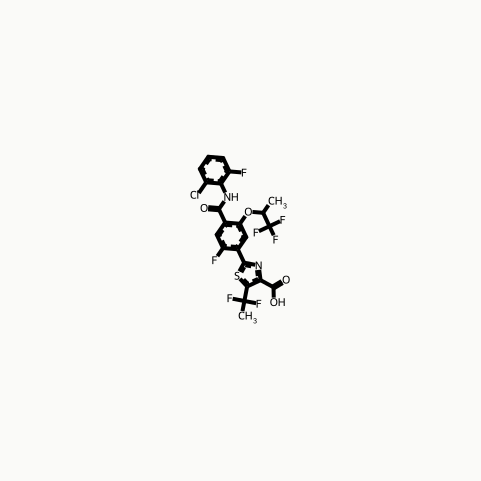 CC(Oc1cc(-c2nc(C(=O)O)c(C(C)(F)F)s2)c(F)cc1C(=O)Nc1c(F)cccc1Cl)C(F)(F)F